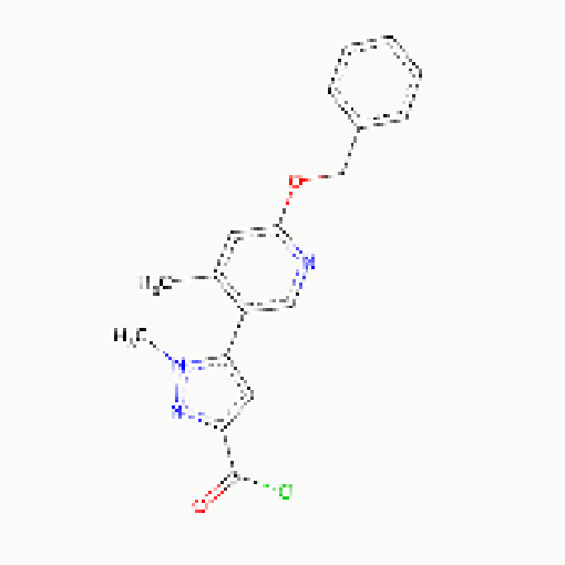 Cc1cc(OCc2ccccc2)ncc1-c1cc(C(=O)Cl)nn1C